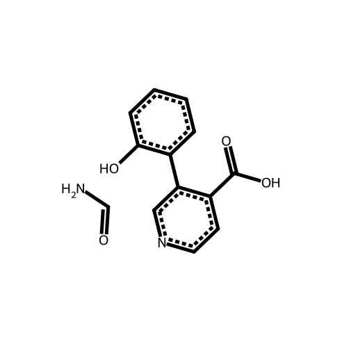 NC=O.O=C(O)c1ccncc1-c1ccccc1O